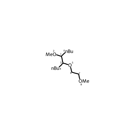 CCCCC(OC)C(CCCC)OCCOC